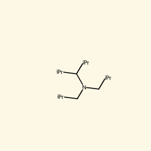 CC(C)CN(CC(C)C)C(C(C)C)C(C)C